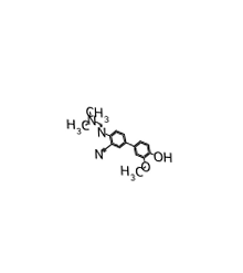 COc1cc(-c2ccc(N=CN(C)C)c(C#N)c2)ccc1O